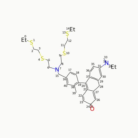 CCSCCSCCN(CCSCCSCC)Cc1ccc(C2=C3C=CC(=O)C=C3Cc3cc(N(C)CC)ccc32)c(C)c1